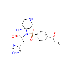 CC(=O)c1ccc(S(=O)(=O)N2C(Cc3c[nH]cn3)C(=O)NC23CCNCC3)cc1